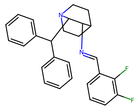 Fc1cccc(C=NC2C3CCN(CC3)C2C(c2ccccc2)c2ccccc2)c1F